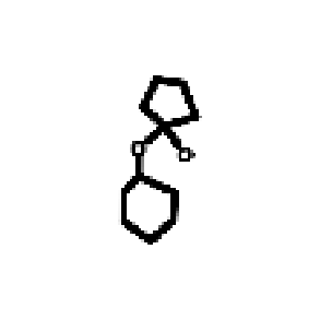 [O]C1(OC2CCCCC2)CCCC1